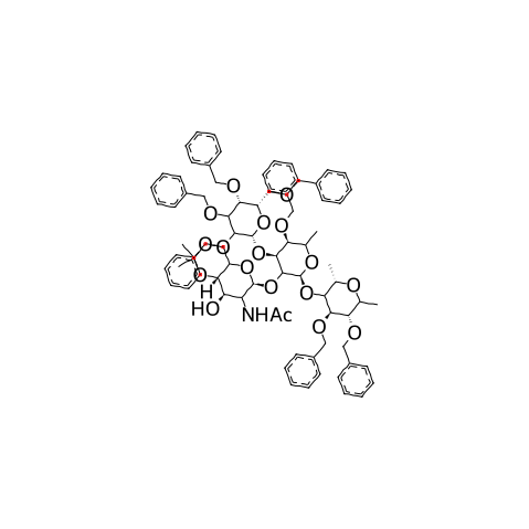 CC(=O)NC1[C@H](OC2[C@H](OC3[C@H](C)OC(C)[C@H](OCc4ccccc4)[C@H]3OCc3ccccc3)OC(C)[C@H](OCc3ccccc3)[C@@H]2O[C@H]2O[C@@H](COCc3ccccc3)[C@@H](OCc3ccccc3)C(OCc3ccccc3)C2OCc2ccccc2)OC2COC(C)(C)O[C@H]2[C@@H]1O